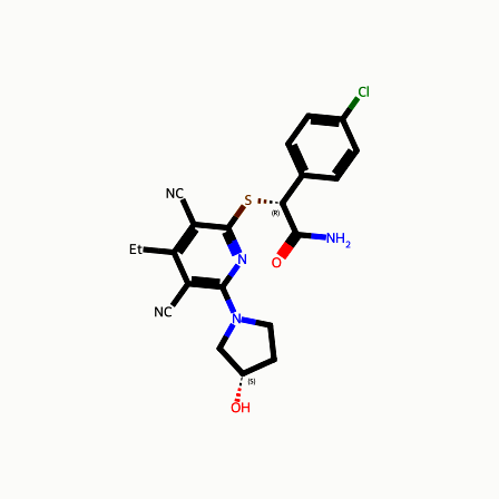 CCc1c(C#N)c(S[C@@H](C(N)=O)c2ccc(Cl)cc2)nc(N2CC[C@H](O)C2)c1C#N